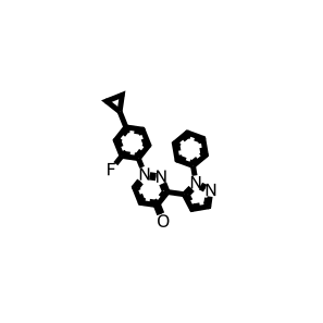 O=c1ccn(-c2ccc(C3CC3)cc2F)nc1-c1ccnn1-c1ccccc1